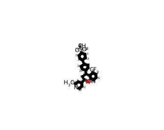 Cc1cc(/C(CC(c2ccc(-c3ccc(S(C)(=O)=O)cc3)cc2)c2ccccc2C(F)(F)F)=N/O)ccn1